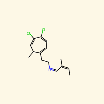 C/C=C(C)\C=N/CCC1=CC=C(Cl)C(Cl)=CC1C